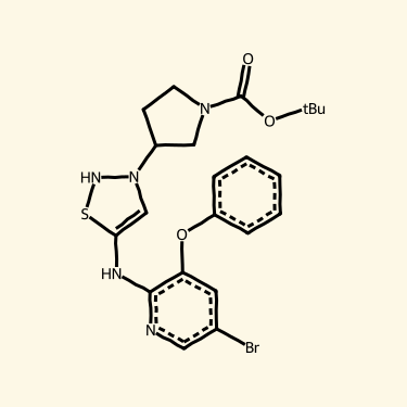 CC(C)(C)OC(=O)N1CCC(N2C=C(Nc3ncc(Br)cc3Oc3ccccc3)SN2)C1